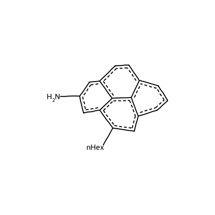 CCCCCCc1cc2cccc3ccc4cc(N)cc1c4c32